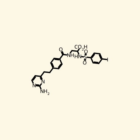 Nc1nccc(CCc2ccc(C(=O)NCC(NS(=O)(=O)c3ccc(I)cc3)C(=O)O)cc2)n1